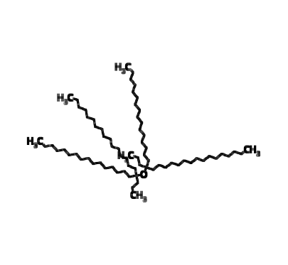 CCCCCCCCCCCCCCCCC(CCC)(CCCCCCCCCCCCCCCC)OC(CCC)(CCCCCCCCCCCCCCCC)CCCCCCCCCCCCCCCC